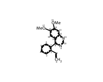 C=Cc1ccccc1-c1ncnc2cc(OC)c(OC)cc12